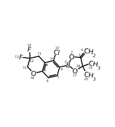 C=C1OB(c2ccc3c(c2Cl)CC(F)(F)CO3)OC1(C)C